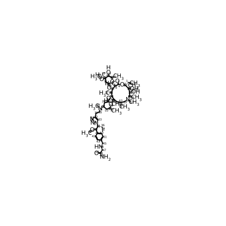 CC[C@H]1OC(=O)[C@H](C)[C@@H](O[C@H]2C[C@@](C)(OC)[C@@H](O)[C@H](C)O2)[C@H](C)[C@@H](O[C@H]2C[C@@H](N(C)CCc3cn([C@H](CF)[C@H](OC)c4ccc(CNCC(N)=O)cc4)nn3)C[C@@H](C)O2)[C@](C)(O)C[C@@H](C)CN(C)[C@H](C)[C@@H](O)[C@]1(C)O